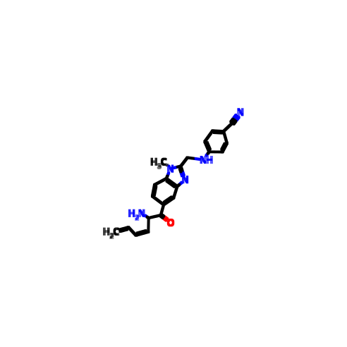 C=C/C=C\C(N)C(=O)c1ccc2c(c1)nc(CNc1ccc(C#N)cc1)n2C